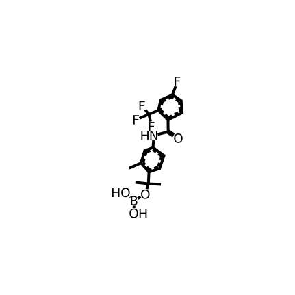 Cc1cc(NC(=O)c2ccc(F)cc2C(F)(F)F)ccc1C(C)(C)OB(O)O